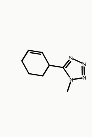 Cn1nnnc1C1C=CCCC1